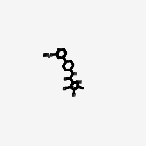 Cc1[nH]c(C(=O)NC2CCN(c3ccnc(C(=O)O)c3)CC2)c(Cl)c1Cl